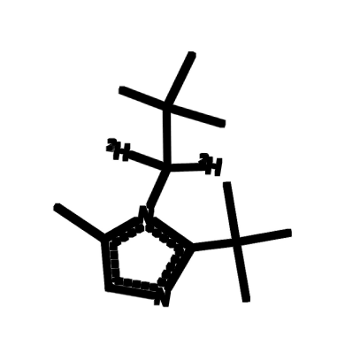 [2H]C([2H])(n1c(C)cnc1C(C)(C)C)C(C)(C)C